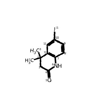 CC1(C)CC(=O)Nc2ccc(I)cc21